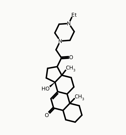 CCN1CCN(CC(=O)C2CC[C@@]3(O)C4=CC(=O)C5CCCCC5(C)C4CCC23C)CC1